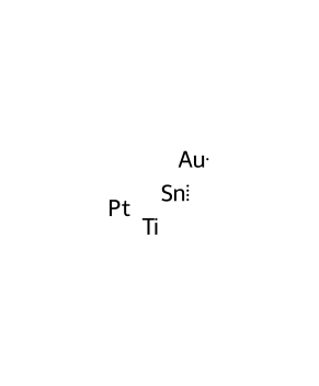 [Au].[Pt].[Sn].[Ti]